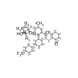 Cc1cc(SC(Cc2c(Cl)cccc2Cl)c2ccc(-c3ccc(C(F)(F)F)cc3)cc2)ccc1CC(C)(C)[Si](C)(C)O